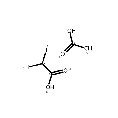 CC(=O)O.O=C(O)C(I)I